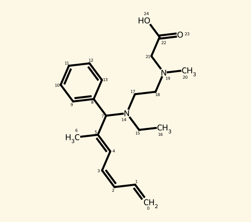 C=C/C=C\C=C(/C)C(c1ccccc1)N(CC)CCN(C)CC(=O)O